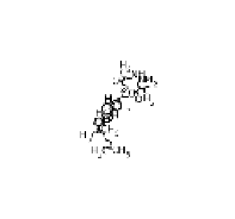 C=C(CN)C(=O)OCC(COC(=O)C(=C)CN)[C@H]1CC[C@@]2(C)[C@@H](CC[C@@H]3[C@@H]2CC[C@]2(C)[C@@H]([C@H](C)CCCC(C)C)CC[C@@H]32)C1